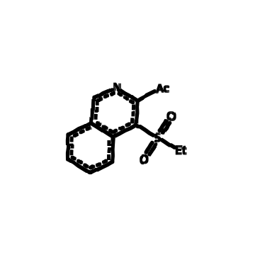 CCS(=O)(=O)c1c(C(C)=O)ncc2ccccc12